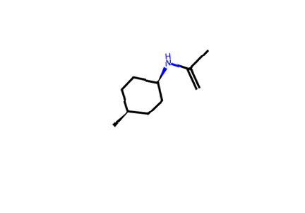 C=C(C)N[C@H]1CC[C@@H](C)CC1